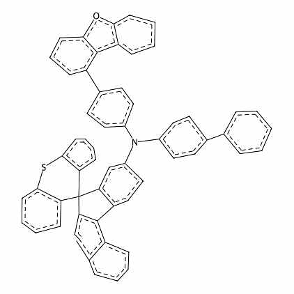 c1ccc(-c2ccc(N(c3ccc(-c4cccc5oc6ccccc6c45)cc3)c3ccc4c(c3)C3(c5ccccc5Sc5ccccc53)c3ccc5ccccc5c3-4)cc2)cc1